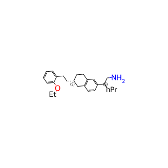 CCC[C@H](CN)c1ccc2c(c1)CC[C@@H](CCc1ccccc1OCC)C2